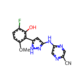 COc1ccc(F)c(O)c1-c1cc(Nc2cnc(C#N)cn2)n[nH]1